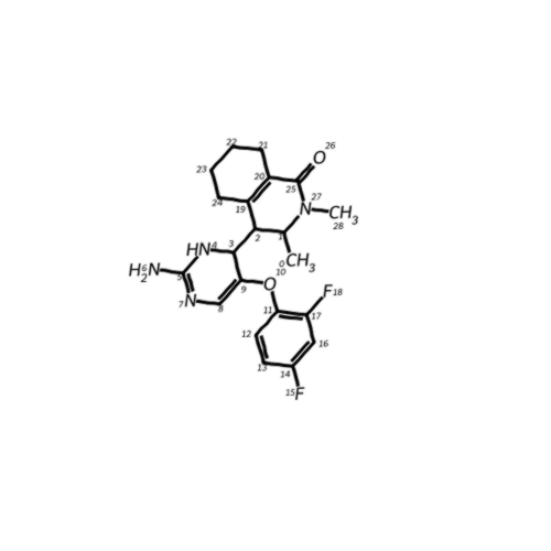 CC1C(C2NC(N)=NC=C2Oc2ccc(F)cc2F)C2=C(CCCC2)C(=O)N1C